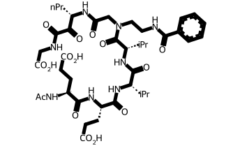 CCC[C@H](NC(=O)CN(CCNC(=O)c1ccccc1)C(=O)[C@@H](NC(=O)[C@@H](NC(=O)[C@H](CCC(=O)O)NC(=O)[C@H](CCC(=O)O)NC(C)=O)C(C)C)C(C)C)C(=O)C(=O)NCC(=O)O